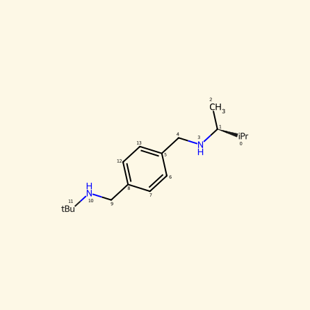 CC(C)[C@H](C)NCc1ccc(CNC(C)(C)C)cc1